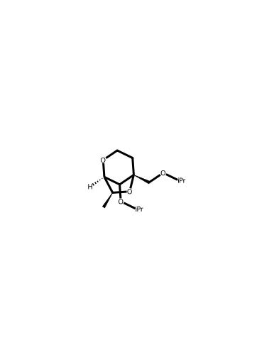 CC(C)OC[C@]12CCO[C@@H](C1OC(C)C)[C@H](C)O2